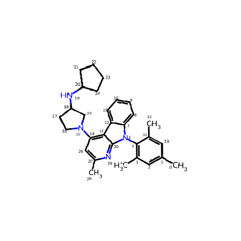 Cc1cc(C)c(-n2c3ccccc3c3c(N4CCC(NC5CCCC5)C4)cc(C)nc32)c(C)c1